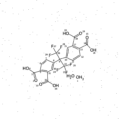 O.O.O=C(O)c1ccc(C(c2ccc(C(=O)O)c(C(=O)O)c2)(C(F)(F)F)C(F)(F)F)cc1C(=O)O